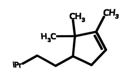 [CH2]C(C)CCC1CC=C(C)C1(C)C